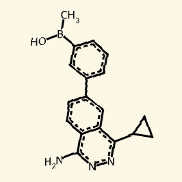 CB(O)c1cccc(-c2ccc3c(N)nnc(C4CC4)c3c2)c1